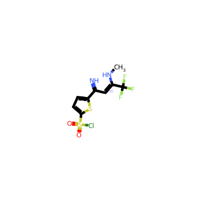 CN/C(=C\C(=N)c1ccc(S(=O)(=O)Cl)s1)C(F)(F)F